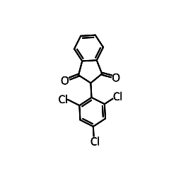 O=C1c2ccccc2C(=O)C1c1c(Cl)cc(Cl)cc1Cl